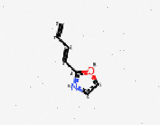 [CH]=CC=Cc1ncco1